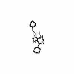 c1ccc(CNn2cnc3c(-c4ccccc4)ncnc32)cc1